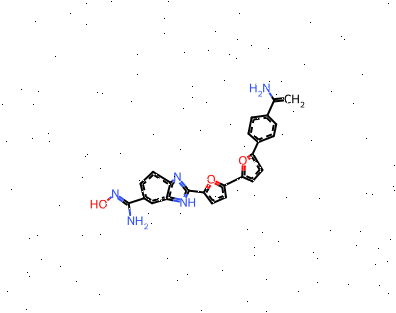 C=C(N)c1ccc(-c2ccc(-c3ccc(-c4nc5ccc(/C(N)=N/O)cc5[nH]4)o3)o2)cc1